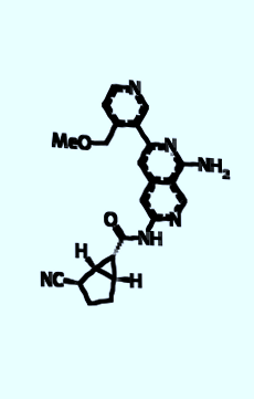 COCc1ccncc1-c1cc2cc(NC(=O)[C@@H]3[C@@H]4CC[C@@H](C#N)[C@@H]43)ncc2c(N)n1